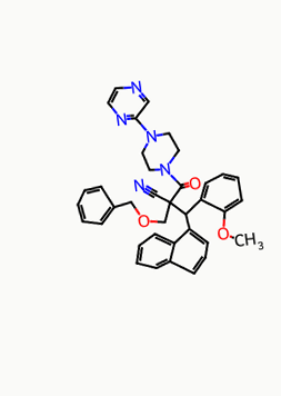 COc1ccccc1C(c1cccc2ccccc12)C(C#N)(COCc1ccccc1)C(=O)N1CCN(c2cnccn2)CC1